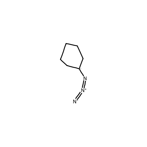 [N-]=[N+]=N[C]1CCCCC1